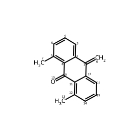 C=C1c2cccc(C)c2C(=O)c2c(C)cccc21